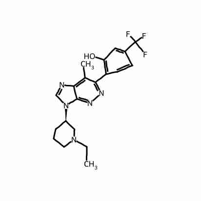 CCN1CCC[C@@H](n2cnc3c(C)c(-c4ccc(C(F)(F)F)cc4O)nnc32)C1